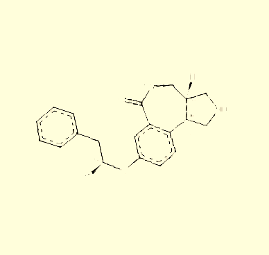 C[C@@H](Cc1ccccc1)Oc1ccc2c(c1)C(=O)NC[C@@H]1CNC[C@@H]21